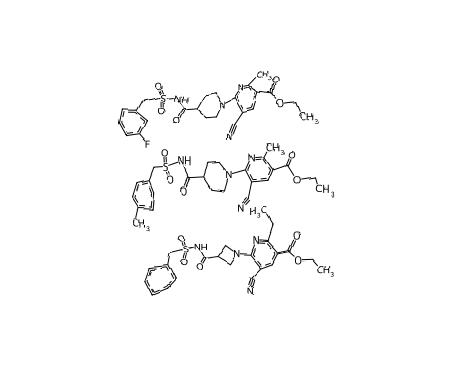 CCOC(=O)c1cc(C#N)c(N2CC(C(=O)NS(=O)(=O)Cc3ccccc3)C2)nc1CC.CCOC(=O)c1cc(C#N)c(N2CCC(C(=O)NS(=O)(=O)Cc3ccc(C)cc3)CC2)nc1C.CCOC(=O)c1cc(C#N)c(N2CCC(C(=O)NS(=O)(=O)Cc3cccc(F)c3)CC2)nc1C